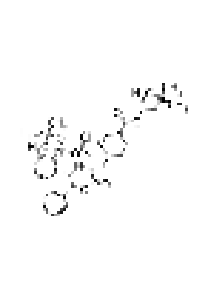 C=CC[C@]1(CC2CCN(C(=O)OCC[Si](C)(C)C)CC2)C(=O)O[C@H](c2ccccc2)[C@H](c2ccccc2)N1OC(=O)OC(C)(C)C